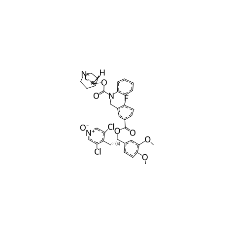 COc1ccc([C@H](Cc2c(Cl)c[n+]([O-])cc2Cl)OC(=O)c2ccc(F)c(CN(C(=O)O[C@H]3CN4CCC3CC4)c3ccccc3)c2)cc1OC